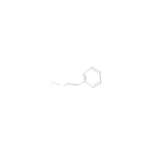 NOCCc1ccccc1